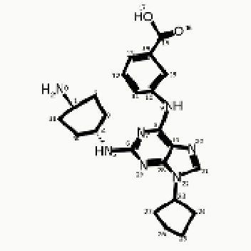 N[C@H]1CC[C@H](Nc2nc(Nc3cccc(C(=O)O)c3)c3ncn(C4CCCC4)c3n2)CC1